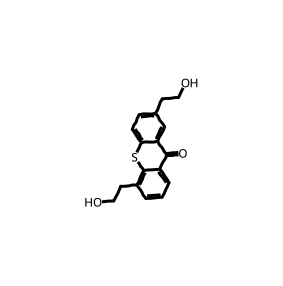 O=c1c2cc(CCO)ccc2sc2c(CCO)cccc12